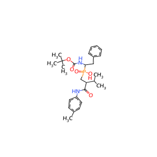 Cc1ccc(NC(=O)C(CP(=O)(O)C(Cc2ccccc2)NC(=O)OC(C)(C)C)C(C)C)cc1